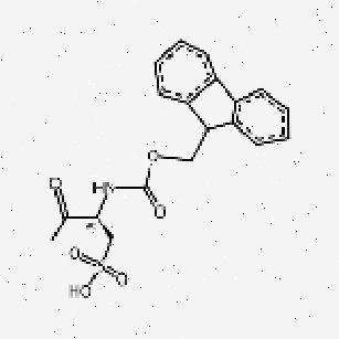 CC(=O)[C@H](CS(=O)(=O)O)NC(=O)OCC1c2ccccc2-c2ccccc21